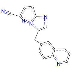 N#Cc1ccc2ncc(Cc3ccc4ncccc4c3)n2n1